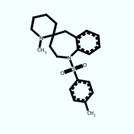 Cc1ccc(S(=O)(=O)N2CCC3(CCCCN3C)Cc3ccccc32)cc1